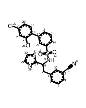 N#Cc1cccc(CC(NS(=O)(=O)c2cccc(-c3ccc(Cl)cc3Cl)c2)c2nccs2)c1